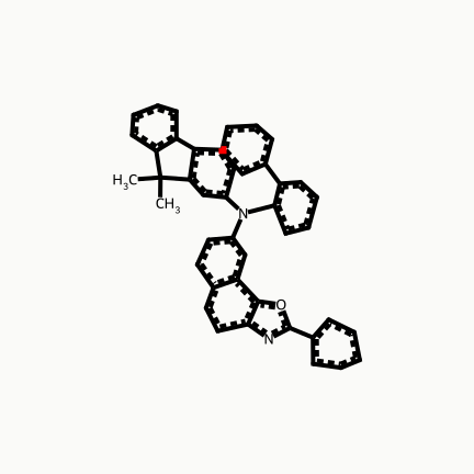 CC1(C)c2ccccc2-c2ccc(N(c3ccc4ccc5nc(-c6ccccc6)oc5c4c3)c3ccccc3-c3ccccc3)cc21